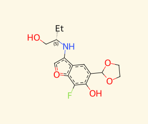 CC[C@@H](CO)Nc1coc2c(F)c(O)c(C3OCCO3)cc12